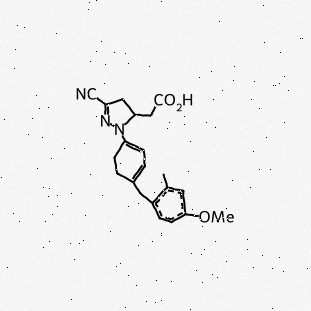 COc1ccc(CC2=CC=C(N3N=C(C#N)CC3CC(=O)O)CC2)c(C)c1